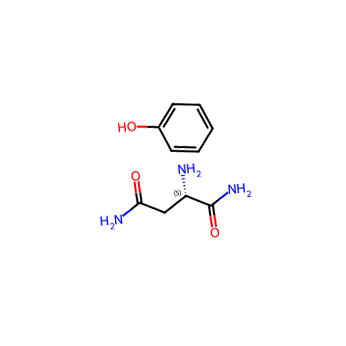 NC(=O)C[C@H](N)C(N)=O.Oc1ccccc1